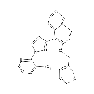 O=[N+]([O-])c1cccnc1-n1ccc(-c2c(OCc3ccccc3)ccc3ccccc23)n1